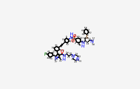 Cc1cc(S(=O)(=O)Nc2ccc(C#Cc3cccc(-c4c(C(=O)NCCCN5CCN(C)CC5)c(C)n(C)c4-c4ccc(F)cc4)c3)cc2)ccc1N[C@H](CCN(C)C)CSc1ccccc1